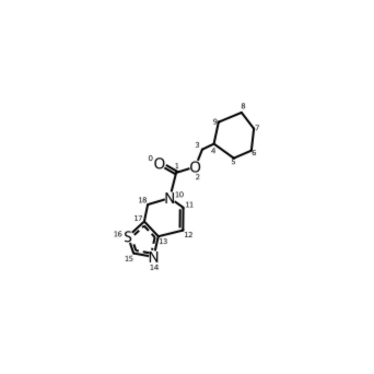 O=C(OCC1CCCCC1)N1C=Cc2ncsc2C1